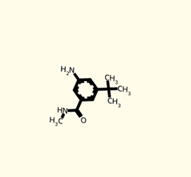 CNC(=O)c1cc(N)cc(C(C)(C)C)c1